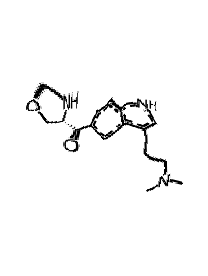 CN(C)CCc1c[nH]c2ccc(C(=O)[C@@H]3COCN3)cc12